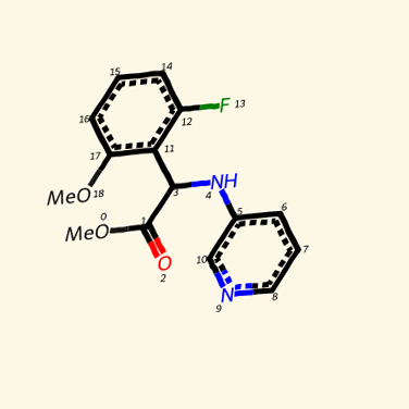 COC(=O)C(Nc1cccnc1)c1c(F)cccc1OC